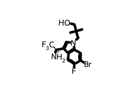 CC(C)(CO)Cn1cc([C@H](N)C(F)(F)F)c2cc(F)c(Br)cc21